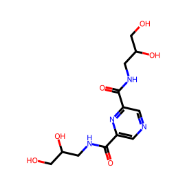 O=C(NCC(O)CO)c1cncc(C(=O)NCC(O)CO)n1